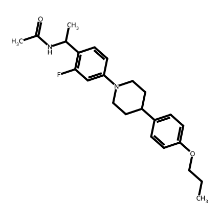 CCCOc1ccc(C2CCN(c3ccc(C(C)NC(C)=O)c(F)c3)CC2)cc1